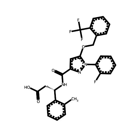 Cc1ccccc1[C@H](CC(=O)O)NC(=O)c1cc(OCc2ccccc2C(F)(F)F)n(-c2ccccc2F)n1